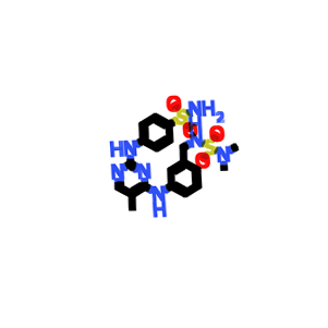 Cc1cnc(Nc2ccc(S(N)(=O)=O)cc2)nc1Nc1cccc(CNS(=O)(=O)N(C)C)c1